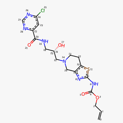 C=CCOC(=O)Nc1nc2c(s1)CCN(C[C@@H](O)CNC(=O)c1cc(Cl)ncn1)C2